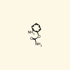 N.NC(=O)Oc1ccccc1